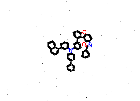 c1ccc(-c2ccc(N(c3cccc(-c4cccc5ccccc45)c3)c3cccc(-c4cccc5oc6ccc7nc(-c8ccccc8)oc7c6c45)c3)cc2)cc1